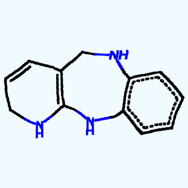 C1=CC2=C(NC1)Nc1ccccc1NC2